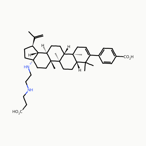 C=C(C)[C@@H]1CC[C@]2(NCCNCCC(=O)O)CC[C@]3(C)[C@H](CC[C@@H]4[C@@]5(C)CC=C(c6ccc(C(=O)O)cc6)C(C)(C)[C@@H]5CC[C@]43C)[C@@H]12